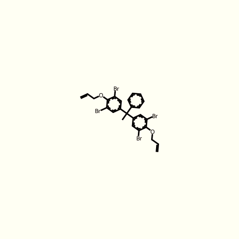 C=CCOc1c(Br)cc(C(C)(c2ccccc2)c2cc(Br)c(OCC=C)c(Br)c2)cc1Br